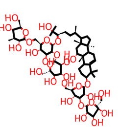 C[C@@H]1[C@@H](O)[C@H](OC[C@H]2O[C@@H](O[C@H](CC[C@@H](C)C3CC[C@@]4(C)C5CC=C6C(CC[C@H](O[C@@H]7O[C@H](CO)[C@@H](O)[C@H](O[C@@H]8O[C@H](CO)[C@@H](O)[C@H](O)[C@H]8O)[C@H]7O)C6(C)C)[C@]5(C)[C@H](O)C[C@]34C)C(C)(C)O)[C@H](O[C@H]3O[C@@H](CO)[C@H](O)[C@@H](O)[C@@H]3O)[C@@H](O)[C@@H]2O)O[C@H](CO)[C@H]1O